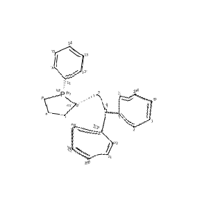 c1ccc(P(C[C@@H]2CCC[P@]2c2ccccc2)c2ccccc2)cc1